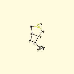 CC(C)C1CC2CSCC21